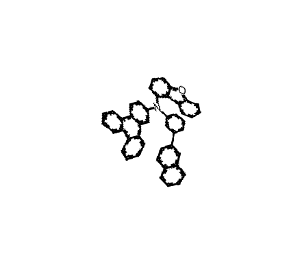 c1cc(-c2ccc3ccccc3c2)cc(N(c2ccc3c4ccccc4c4ccccc4c3c2)c2cccc3oc4ccccc4c23)c1